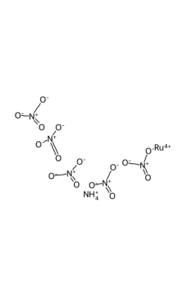 O=[N+]([O-])[O-].O=[N+]([O-])[O-].O=[N+]([O-])[O-].O=[N+]([O-])[O-].O=[N+]([O-])[O-].[NH4+].[Ru+4]